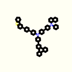 c1ccc(N(c2ccc(-c3ccc(N(c4ccc(-c5ccc(-c6ccc7sc8ccccc8c7c6)cc5)cc4)c4ccc(-c5ccc6c7ccccc7c7ccccc7c6c5)cc4)cc3)cc2)c2cccc3ccccc23)cc1